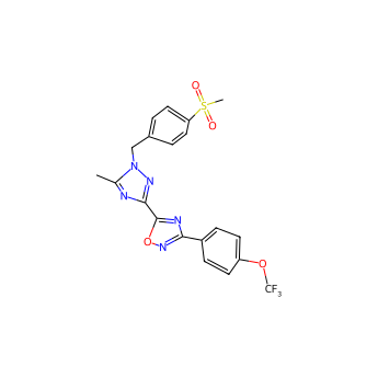 Cc1nc(-c2nc(-c3ccc(OC(F)(F)F)cc3)no2)nn1Cc1ccc(S(C)(=O)=O)cc1